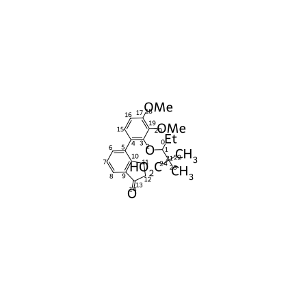 CCC(Oc1c(-c2cccc3c2CCC3=O)ccc(OC)c1OC)C(C)(C)C(=O)O